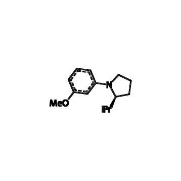 COc1cccc(N2CCC[C@H]2C(C)C)c1